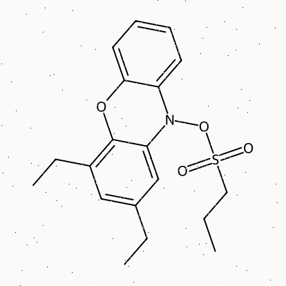 CCCS(=O)(=O)ON1c2ccccc2Oc2c(CC)cc(CC)cc21